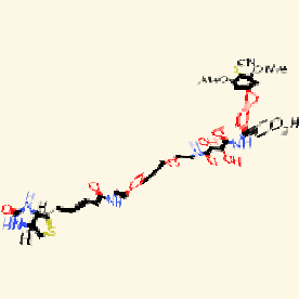 COc1cc(OOC(NC(=O)[C@H](O)[C@@H](O)C(=O)NCCOCCOCCNC(=O)CCCC[C@@H]2SC[C@@H]3NC(=O)N[C@@H]32)C(=O)O)cc(OC)c1SC#N